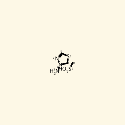 CS(=O)(=O)O.NN1CSC=N1